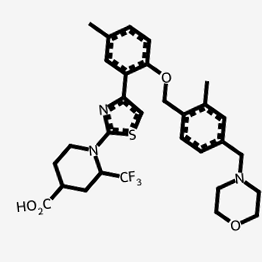 Cc1ccc(OCc2ccc(CN3CCOCC3)cc2C)c(-c2csc(N3CCC(C(=O)O)CC3C(F)(F)F)n2)c1